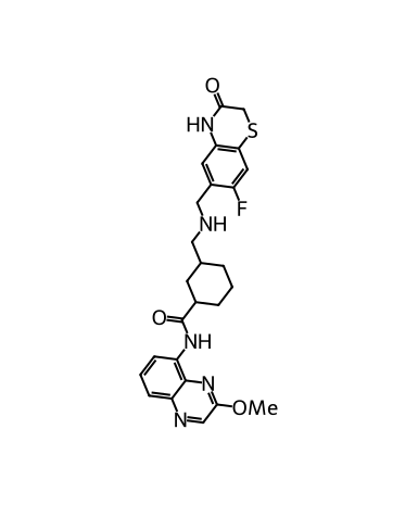 COc1cnc2cccc(NC(=O)C3CCCC(CNCc4cc5c(cc4F)SCC(=O)N5)C3)c2n1